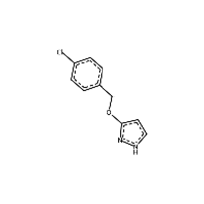 Clc1ccc([CH]Oc2cc[nH]n2)cc1